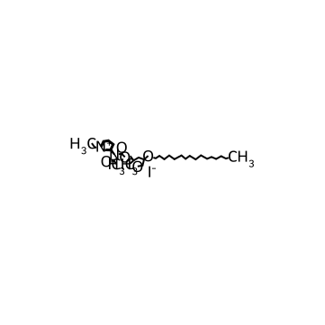 CCCCCCCCCCCCCCCCOC1COC(C)(COC(=O)N(C(C)=O)c2ccc[n+](CC)c2)C1.[I-]